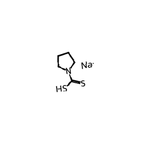 S=C(S)N1CCCC1.[Na]